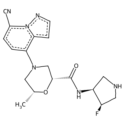 C[C@@H]1CN(c2ccc(C#N)n3nccc23)C[C@H](C(=O)N[C@H]2CNC[C@H]2F)O1